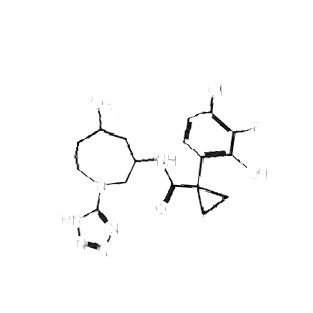 CC1CCN(c2nnn[nH]2)CC(NC(=O)C2(c3ccc(Cl)c(F)c3O)CC2)C1